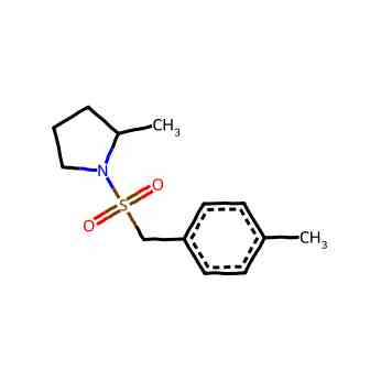 Cc1ccc(CS(=O)(=O)N2CCCC2C)cc1